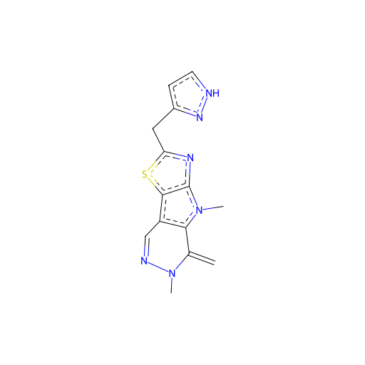 C=C1c2c(c3sc(Cc4cc[nH]n4)nc3n2C)C=NN1C